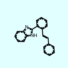 C(=Cc1ccccc1-c1nc2ccccc2[nH]1)c1ccccc1